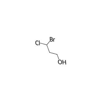 OCCC(Cl)Br